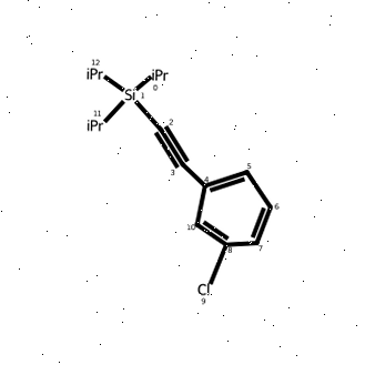 CC(C)[Si](C#Cc1c[c]cc(Cl)c1)(C(C)C)C(C)C